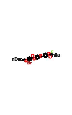 CCCCCCCCCCCCOc1ccc(C(=O)Oc2ccc(OC[C@H]3CC[C@H](OC(=O)[C@@H](F)CCCC)CC3)cc2)cc1Br